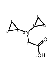 O=C(O)CN(C1CC1)C1CC1